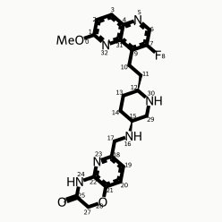 COc1ccc2ncc(F)c(CC[C@@H]3CC[C@H](NCc4ccc5c(n4)NC(=O)CO5)CN3)c2n1